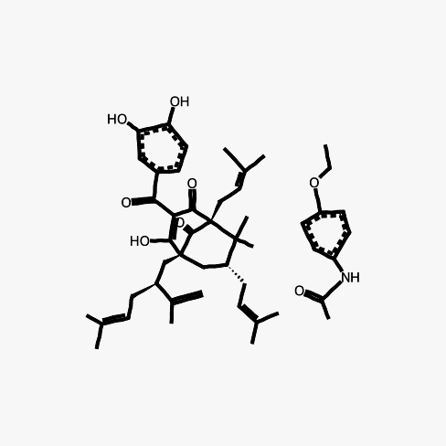 C=C(C)[C@@H](CC=C(C)C)C[C@@]12C[C@@H](CC=C(C)C)C(C)(C)[C@@](CC=C(C)C)(C(=O)C(C(=O)c3ccc(O)c(O)c3)=C1O)C2=O.CCOc1ccc(NC(C)=O)cc1